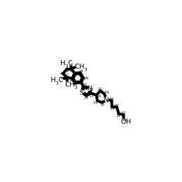 CC1(C)CCC(C)(C)c2cc(-c3nc(C4CCN(CCCCCO)CC4)cs3)ccc21